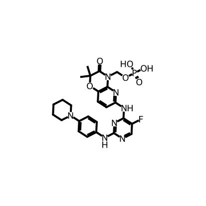 CC1(C)Oc2ccc(Nc3nc(Nc4ccc(N5CCCCC5)cc4)ncc3F)nc2N(COP(=O)(O)O)C1=O